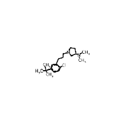 CN(C)C1CCN(CCCc2cc(C(C)(C)C)ccc2Cl)C1